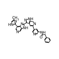 Cc1c[nH]c(-c2cncc3[nH]c(-c4n[nH]c5cnc(-c6cncc(NC(=O)Cc7ccccc7)c6)cc45)nc23)n1